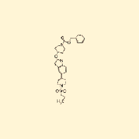 CCCS(=O)(=O)N1CC=C(c2ccc3nc(OC4CCN(C(=O)OCc5ccccc5)CC4)sc3c2)CC1